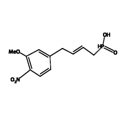 COc1cc(CC=CC[PH](=O)O)ccc1[N+](=O)[O-]